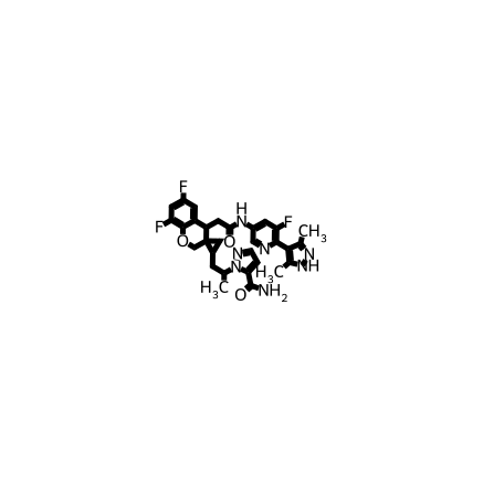 Cc1n[nH]c(C)c1-c1ncc(NC(=O)CC2c3cc(F)cc(F)c3OCC23CC3CC(C)n2nccc2C(N)=O)cc1F